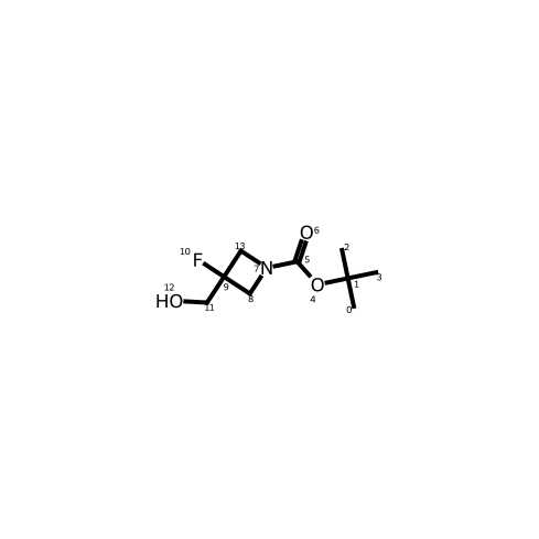 CC(C)(C)OC(=O)N1CC(F)(CO)C1